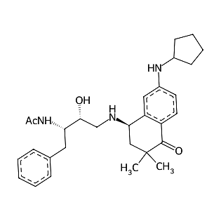 CC(=O)N[C@@H](Cc1ccccc1)[C@H](O)CN[C@@H]1CC(C)(C)C(=O)c2ccc(NC3CCCC3)cc21